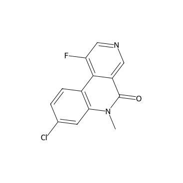 Cn1c(=O)c2cncc(F)c2c2ccc(Cl)cc21